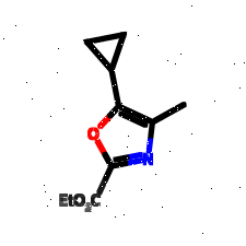 CCOC(=O)c1nc(C)c(C2CC2)o1